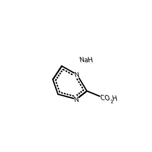 O=C(O)c1ncccn1.[NaH]